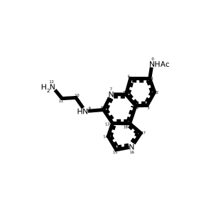 CC(=O)Nc1ccc2c(c1)nc(NCCN)c1ccncc12